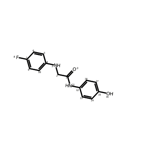 O=C(CNc1ccc(F)cc1)Nc1ccc(O)cc1